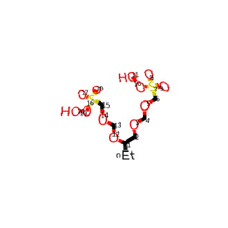 CCC(COCOCS(=O)(=O)OO)OCOCS(=O)(=O)OO